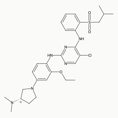 CCOc1cc(N2CC[C@H](N(C)C)C2)ccc1Nc1ncc(Cl)c(Nc2ccccc2S(=O)(=O)CC(C)C)n1